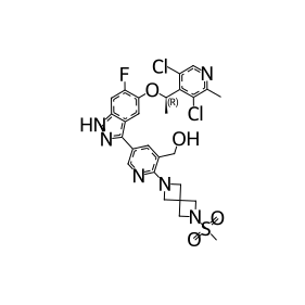 Cc1ncc(Cl)c([C@@H](C)Oc2cc3c(-c4cnc(N5CC6(C5)CN(S(C)(=O)=O)C6)c(CO)c4)n[nH]c3cc2F)c1Cl